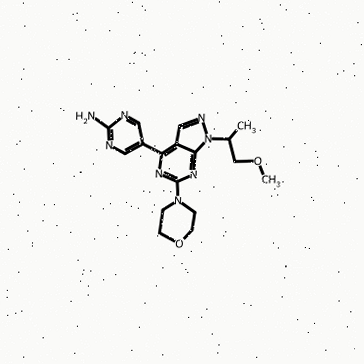 COCC(C)n1ncc2c(-c3cnc(N)nc3)nc(N3CCOCC3)nc21